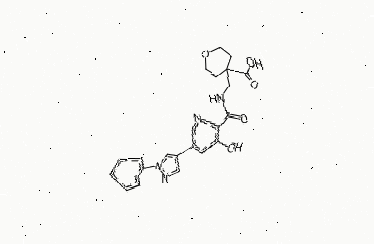 O=C(NCC1(C(=O)O)CCOCC1)c1ncc(-c2cnn(-c3ccccc3)c2)cc1O